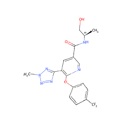 C[C@H](CO)NC(=O)c1cnc(Oc2ccc(C(F)(F)F)cc2)c(-c2nnn(C)n2)c1